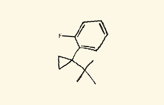 CC(C)(C)C1(c2ccccc2F)CC1